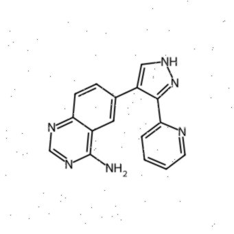 Nc1ncnc2ccc(-c3c[nH]nc3-c3ccccn3)cc12